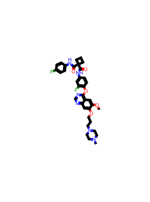 COc1cc2c(Oc3ccc(NC(=O)C4(C(=O)Nc5ccc(F)cc5)CCC4)cc3F)ncnc2cc1OCCCN1CCN(C)CC1